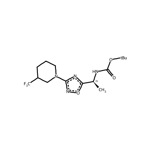 C[C@H](NC(=O)OC(C)(C)C)c1nc(N2CCCC(C(F)(F)F)C2)no1